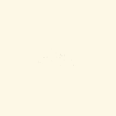 CC(C)(C)OC(=O)N[C@H]1CC[C@@H](C(C)(C)C)C1